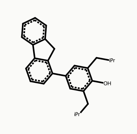 CC(C)Cc1cc(-c2cccc3c2Cc2ccccc2-3)cc(CC(C)C)c1O